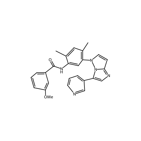 COc1cccc(C(=O)Nc2cc(-n3ccc4ncc(-c5cccnc5)n43)c(C)cc2C)c1